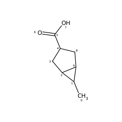 CC1C2CC(C(=O)O)CC12